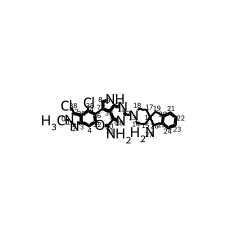 Cn1nc2ccc(-c3c[nH]c4nc(N5CCC6(CC5)Cc5ccccc5C6N)nc(C(N)=O)c34)c(Cl)c2c1Cl